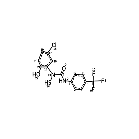 O=C(Nc1ccc(C(F)(F)F)cc1)N(S)c1cc(Cl)ccc1O